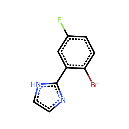 Fc1ccc(Br)c(-c2ncc[nH]2)c1